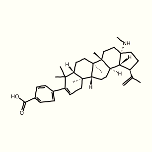 C=C(C)[C@@H]1CC[C@]2(NC)CC[C@]3(C)[C@H](CC[C@@H]4[C@@]5(C)CC=C(c6ccc(C(=O)O)cc6)C(C)(C)[C@@H]5CC[C@]43C)[C@@H]12